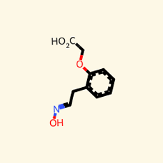 O=C(O)COc1ccccc1CC=NO